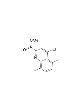 COC(=O)c1cc(Cl)c2c(C)ccc(C)c2n1